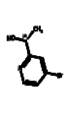 C[C@@H](O)c1cc(Br)ccn1